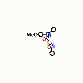 COc1ccc(C2CC(c3ccccc3)=NN2C(=O)CSc2nnc(-c3ccccc3)o2)cc1